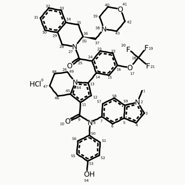 Cl.Cn1ccc2cc(N(C(=O)c3cc(-c4cc(OC(F)(F)F)ccc4C(=O)N4Cc5ccccc5C[C@H]4CN4CCOCC4)n4c3CCCC4)c3ccc(O)cc3)ccc21